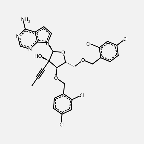 CC#C[C@@]1(O)[C@H](OCc2ccc(Cl)cc2Cl)[C@@H](COCc2ccc(Cl)cc2Cl)O[C@@H]1n1ccc2c(N)ncnc21